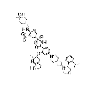 Cc1nc2[nH]ccc2cc1Oc1cc(N2CCC3(CC2)CC(N2CCOC[C@@H]2c2ccccc2C(C)C)C3)ccc1C(=O)NS(=O)(=O)c1cnc(NC[C@H]2CC[C@](C)(O)CC2)c([N+](=O)[O-])c1